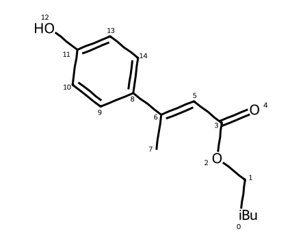 CCC(C)COC(=O)C=C(C)c1ccc(O)cc1